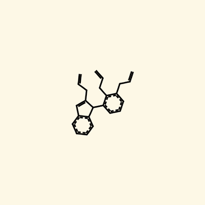 C=CCC1=Cc2ccccc2C1c1cccc(CC=C)c1CC=C